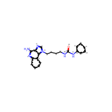 Nc1nc2ccccc2c2c1ncn2CCCCNC(=O)Nc1ccccc1